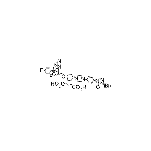 CCC(C)n1ncn(-c2ccc(N3CCN(c4ccc(OC[C@H]5CO[C@](Cn6cncn6)(c6ccc(F)cc6F)O5)cc4)CC3)cc2)c1=O.O=C(O)CCCC(=O)O